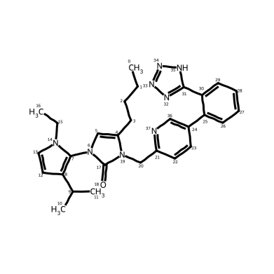 CCCCc1cn(-c2c(C(C)C)ccn2CC)c(=O)n1Cc1ccc(-c2ccccc2-c2nnn[nH]2)cn1